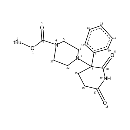 CC(C)(C)OC(=O)N1CCN(C2(c3ccccc3)CCC(=O)NC2=O)CC1